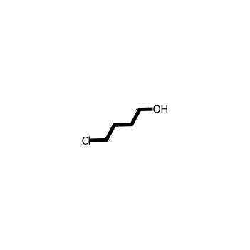 O[CH]CC[CH]Cl